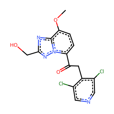 COc1ccc(C(=O)Cc2c(Cl)cncc2Cl)n2nc(CO)nc12